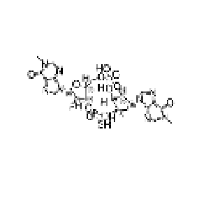 Cn1cnc2c(ncn2[C@@H]2C[C@@H]3OP(=O)(S)O[C@H]4[C@@H](F)[C@H](n5cnc6c(=O)n(C)cnc65)O[C@@H]4COP(=O)(O)O[C@@H]2[C@@H]3O)c1=O